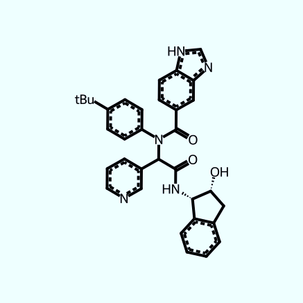 CC(C)(C)c1ccc(N(C(=O)c2ccc3[nH]cnc3c2)C(C(=O)N[C@H]2c3ccccc3C[C@H]2O)c2cccnc2)cc1